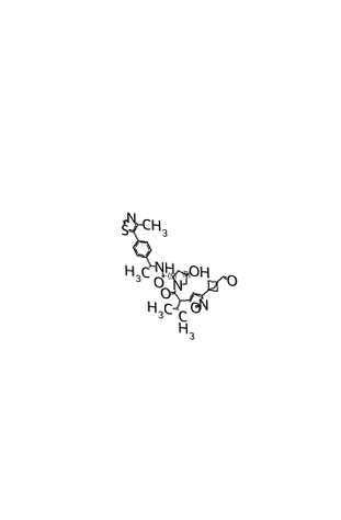 Cc1ncsc1-c1ccc(C(C)NC(=O)[C@@H]2C[C@@H](O)CN2C(=O)C(c2cc(C34CC(C=O)(C3)C4)no2)C(C)C)cc1